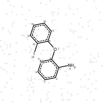 Nc1cccnc1Oc1ccccc1I